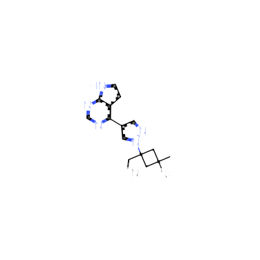 [C-]#[N+]C1(C)CC(CC#N)(n2cc(-c3ncnc4[nH]ccc34)cn2)C1